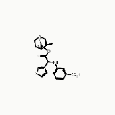 O=C(O)c1cccc(NC(C(=O)O[C@H]2CN3CCC2CC3)c2ccsc2)c1